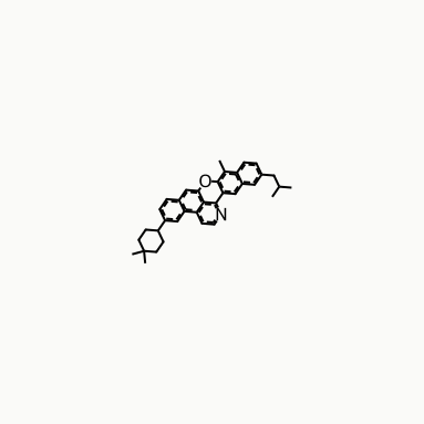 Cc1c2c(cc3cc(CC(C)C)ccc13)-c1nccc3c1c(cc1ccc(C4CCC(C)(C)CC4)cc13)O2